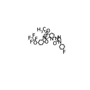 CCS(=O)(=O)c1ccc(-n2ncn(-c3ccc(F)cc3)c2=O)nc1-c1nc2cc(OC(F)(F)C(F)F)ccc2o1